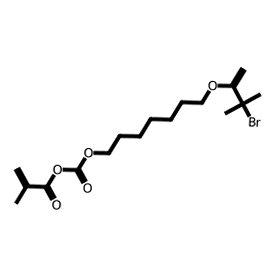 C=C(C)C(=O)OC(=O)OCCCCCCCOC(=C)C(C)(C)Br